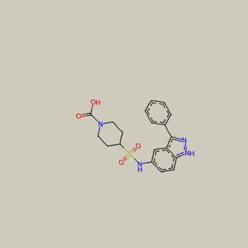 O=C(O)N1CCC(S(=O)(=O)Nc2ccc3[nH]nc(-c4ccccc4)c3c2)CC1